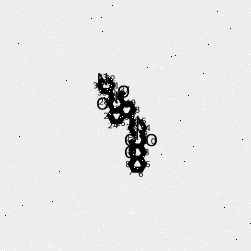 O=C(c1cc2ccccc2oc1=O)N1CCN(c2ccc3c4c(cccc24)C(=O)N(c2ccncc2)C3=O)CC1